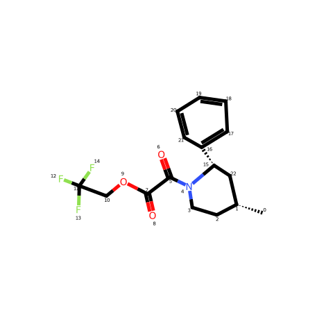 C[C@@H]1CCN(C(=O)C(=O)OCC(F)(F)F)[C@H](c2ccccc2)C1